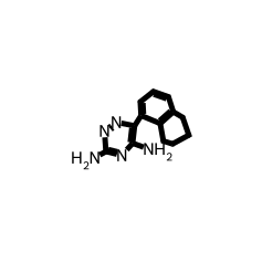 Nc1nnc(-c2cccc3c2CCCC3)c(N)n1